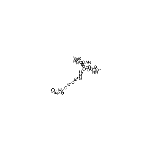 C=C1C[C@H]2C=Nc3cc(OCc4cc(C#CCNC(=O)CCOCCOCCOCCOCCNC(=O)OCC(C)SSc5ccccn5)cc(COc5cc6c(cc5OC)C(=O)N5CC(=C)C[C@H]5C=N6)c4)c(OC)cc3C(=O)N2C1